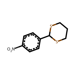 O=[N+]([O-])c1ccc(C2SCCCS2)cc1